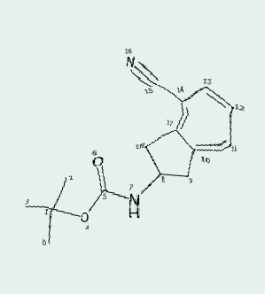 CC(C)(C)OC(=O)NC1Cc2cccc(C#N)c2C1